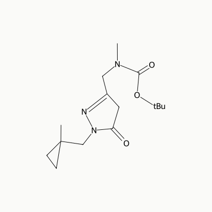 CN(CC1=NN(CC2(C)CC2)C(=O)C1)C(=O)OC(C)(C)C